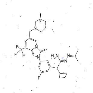 C=C1N2C=C(CN3CCC[C@H](C)C3)C=C(C(F)(F)F)C2=CN1c1cc(F)cc(C(/C(N)=N/N=C(C)C)C2CCC2)c1